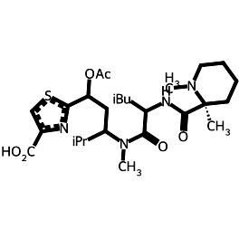 CCC(C)C(NC(=O)[C@]1(C)CCCCN1C)C(=O)N(C)C(CC(OC(C)=O)c1nc(C(=O)O)cs1)C(C)C